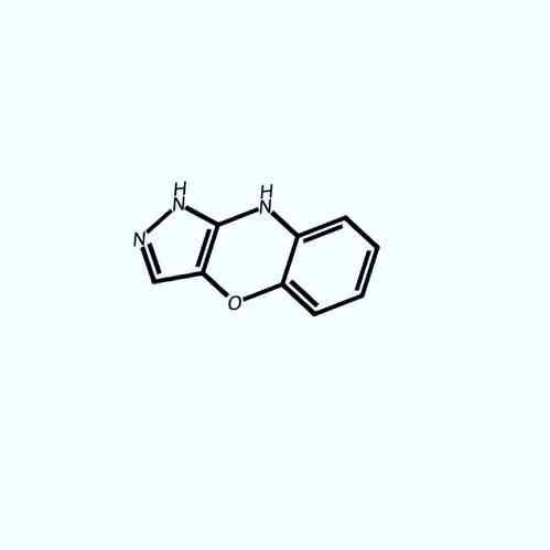 c1ccc2c(c1)Nc1[nH]ncc1O2